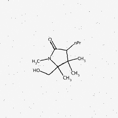 CCCC1C(=O)N(C)C(C)(CO)C1(C)C